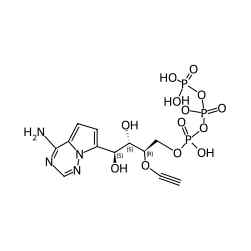 C#CO[C@H](COP(=O)(O)OP(=O)(O)OP(=O)(O)O)[C@@H](O)[C@@H](O)c1ccc2c(N)ncnn12